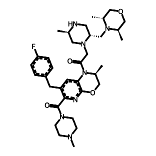 C[C@@H]1CN(CC(=O)N2c3cc(Cc4ccc(F)cc4)c(C(=O)N4CCN(C)CC4)nc3OC[C@@H]2C)[C@@H](CN2[C@H](C)COC[C@H]2C)CN1